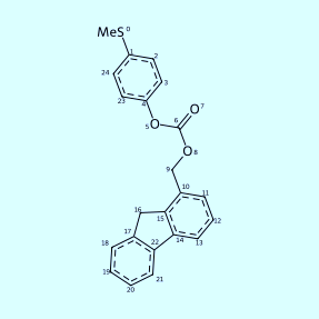 CSc1ccc(OC(=O)OCc2cccc3c2Cc2ccccc2-3)cc1